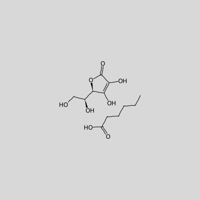 CCCCCC(=O)O.O=C1O[C@H]([C@@H](O)CO)C(O)=C1O